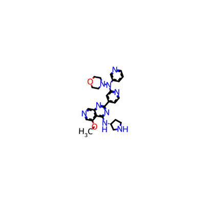 COc1cncc2nc(-c3ccnc(N(c4cccnc4)N4CCOCC4)c3)nc(N[C@@H]3CCNC3)c12